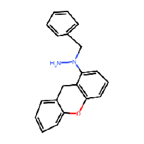 NN(Cc1ccccc1)c1cccc2c1Cc1ccccc1O2